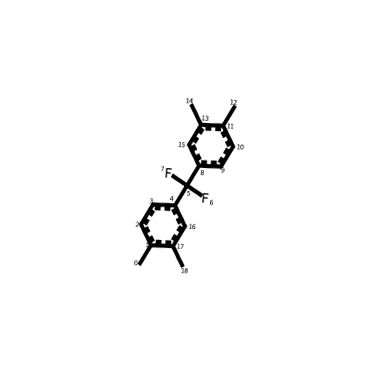 Cc1ccc(C(F)(F)c2ccc(C)c(C)c2)cc1C